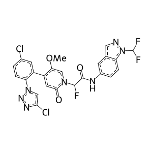 COc1cn(C(F)C(=O)Nc2ccc3c(cnn3C(F)F)c2)c(=O)cc1-c1cc(Cl)ccc1-n1cc(Cl)nn1